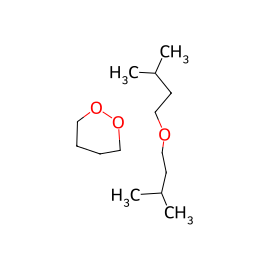 C1CCOOC1.CC(C)CCOCCC(C)C